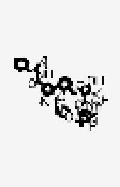 C[C@@H]1[C@@H](NC(=O)[C@@H]2[C@H]([C@H](C)O)[C@H](O)ON2Cc2cccc(-c3cc(C(=O)N[C@@H](Cc4ccccc4)CN(C)C)cc(N(C)C)c3)c2OCCN2CCOCC2)C[C@H]2C[C@@H]1C2(C)C